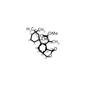 COC(=O)C(C)c1c([C@@]2(C)CCCC(C)(C)C2)ccc2c1C(=O)OC2